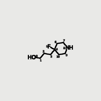 OCCCC1(F)CCNCC1